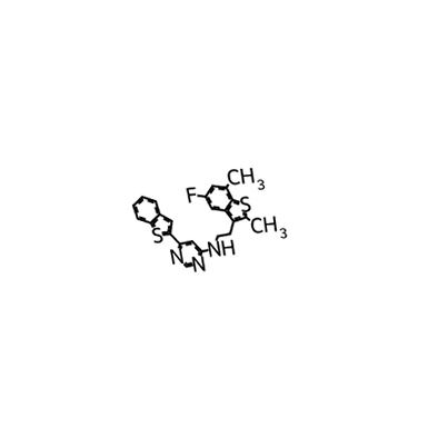 Cc1sc2c(C)cc(F)cc2c1CCNc1cc(-c2cc3ccccc3s2)ncn1